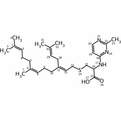 CC(C)=CCCC(C)=CCCC(=CCSCC(Nc1ccnc(C)n1)C(=O)O)CC=C(C)C